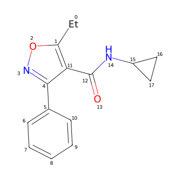 CCc1onc(-c2ccccc2)c1C(=O)NC1CC1